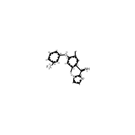 Cc1cc(C(=N)c2nccs2)c(C)cc1Oc1cccc(C(F)(F)F)c1